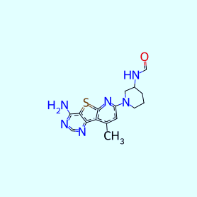 Cc1cc(N2CCCC(NC=O)C2)nc2sc3c(N)ncnc3c12